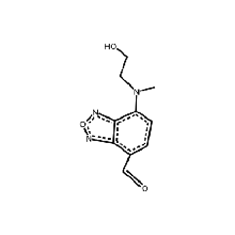 CN(CCO)c1ccc(C=O)c2nonc12